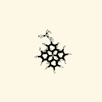 C[Si+](C)C.Fc1c(F)c(F)c([B-](c2c(F)c(F)c(F)c(F)c2F)(c2c(F)c(F)c(F)c(F)c2F)c2c(F)c(F)c(F)c(F)c2F)c(F)c1F